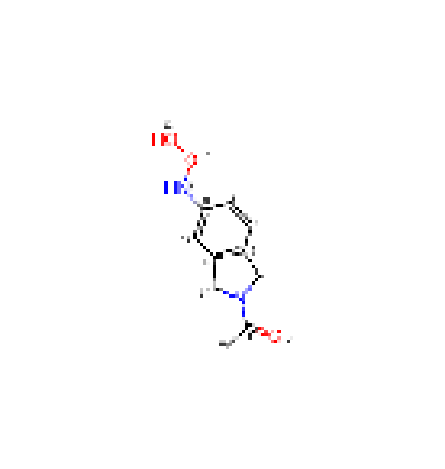 CC(=O)N1Cc2ccc(NOO)cc2C1